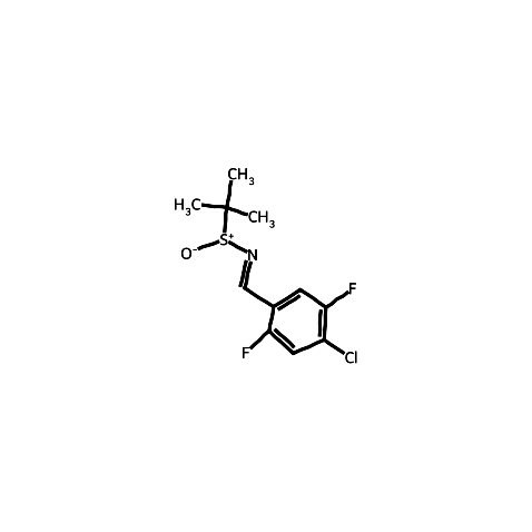 CC(C)(C)[S+]([O-])N=Cc1cc(F)c(Cl)cc1F